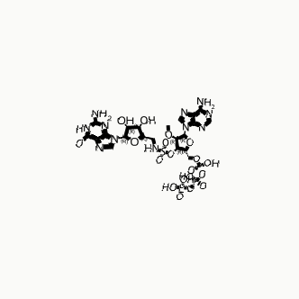 CO[C@@H]1[C@H](OS(=O)(=O)NC[C@H]2O[C@@H](n3cnc4c(=O)[nH]c(N)nc43)[C@H](O)[C@@H]2O)[C@@H](COP(=O)(O)OP(=O)(O)OP(=O)(O)O)O[C@H]1n1cnc2c(N)ncnc21